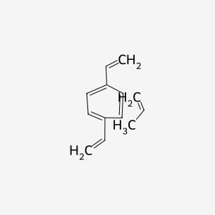 C=CC.C=Cc1ccc(C=C)cc1